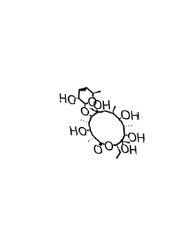 CC[C@H]1OC(=O)[C@H](C)[C@@H](O)[C@H](C)[C@@H](O[C@@H]2O[C@H](C)C=C[C@H]2O)C(C)(O)C[C@@H](C)[C@H](O)[C@H](C)[C@@H](O)[C@]1(C)O